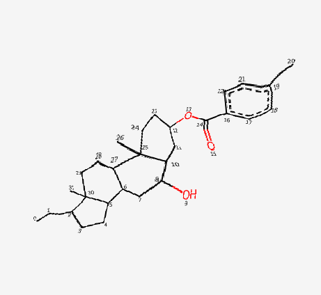 CCC1CCC2C3CC(O)C4CC(OC(=O)c5ccc(C)cc5)CCC4(C)C3CCC12C